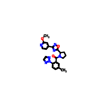 COc1cc(-c2noc(C3CCCN3C(=O)c3cc(C)ccc3-n3nccn3)n2)ccn1